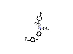 N/C(=N\OC(=O)c1ccc(F)cc1)c1ccc(Oc2ccc(CF)cc2)cc1